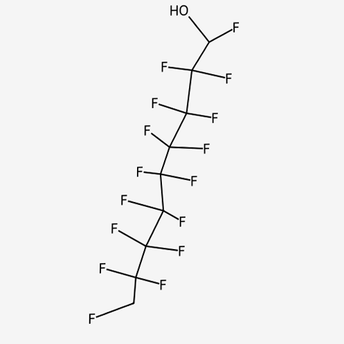 OC(F)C(F)(F)C(F)(F)C(F)(F)C(F)(F)C(F)(F)C(F)(F)C(F)(F)CF